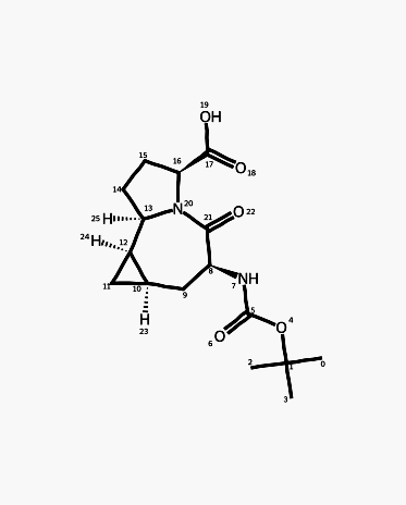 CC(C)(C)OC(=O)N[C@H]1C[C@H]2C[C@H]2[C@H]2CC[C@@H](C(=O)O)N2C1=O